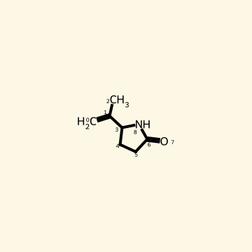 C=C(C)C1CCC(=O)N1